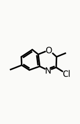 Cc1ccc2c(c1)N=C(Cl)C(C)O2